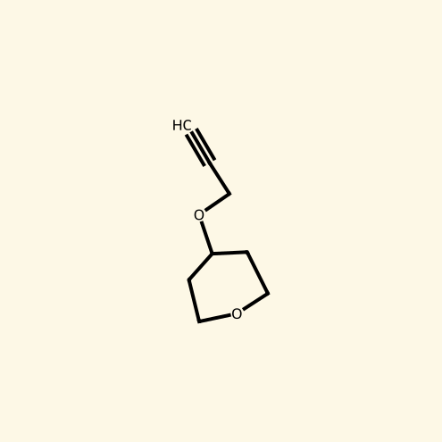 C#CCOC1CCOCC1